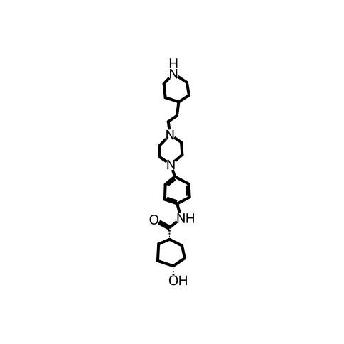 O=C(Nc1ccc(N2CCN(CCC3CCNCC3)CC2)cc1)[C@H]1CC[C@@H](O)CC1